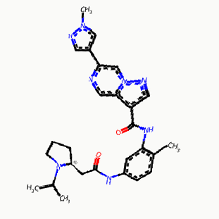 Cc1ccc(NC(=O)C[C@@H]2CCCN2C(C)C)cc1NC(=O)c1cnn2cc(-c3cnn(C)c3)ncc12